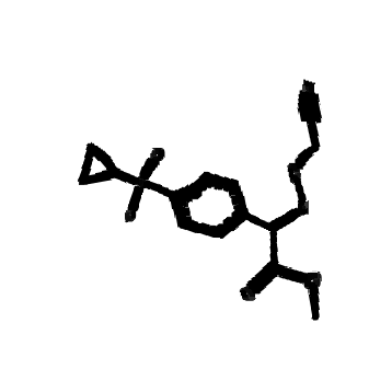 COC(=O)/C(=N/OCC#N)c1ccc(S(=O)(=O)C2CC2)cc1